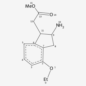 CCOc1cccc2c1CC(N)C2CC(=O)OC